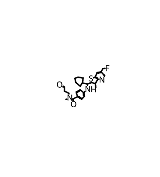 CC1c2ncc(CF)cc2SC1C(Nc1ccc(C(=O)N(C)CCC=O)cc1)C1CCCCC1